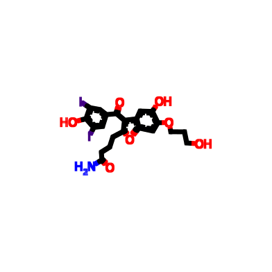 NC(=O)CCCc1oc2cc(OCCCO)c(O)cc2c1C(=O)c1cc(I)c(O)c(I)c1